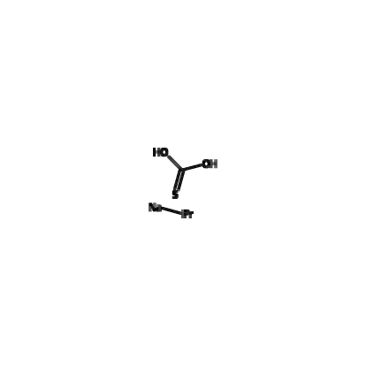 C[CH](C)[Na].OC(O)=S